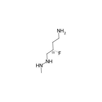 CNNC[C@@H](F)CCN